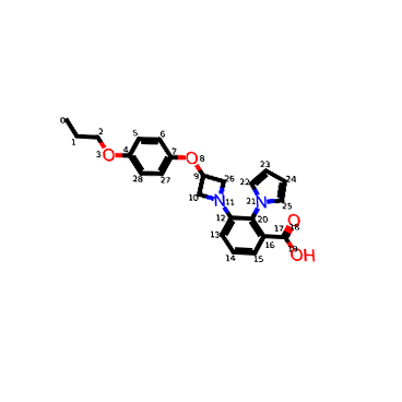 CCCOc1ccc(OC2CN(c3cccc(C(=O)O)c3-n3cccc3)C2)cc1